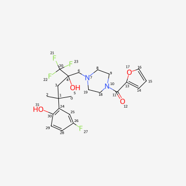 CC(C)(CC(O)(CN1CCN(C(=O)c2ccco2)CC1)C(F)(F)F)c1cc(F)ccc1O